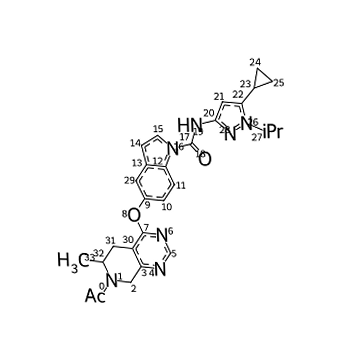 CC(=O)N1Cc2ncnc(Oc3ccc4c(ccn4C(=O)Nc4cc(C5CC5)n(C(C)C)n4)c3)c2CC1C